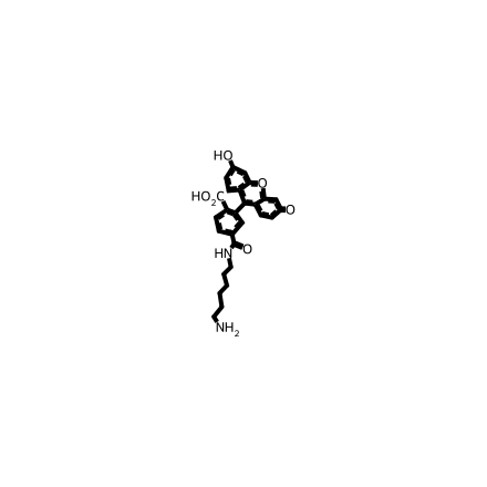 NCCCCCCNC(=O)c1ccc(C(=O)O)c(-c2c3ccc(=O)cc-3oc3cc(O)ccc23)c1